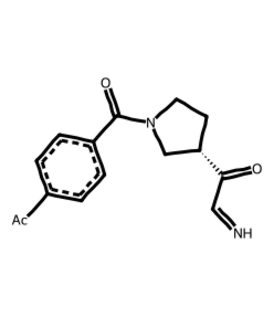 CC(=O)c1ccc(C(=O)N2CC[C@H](C(=O)C=N)C2)cc1